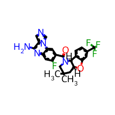 CC1(C)C[C@H]2Oc3cc(C(F)(F)F)ccc3[C@H]2N(C(=O)c2cc3c(cc2F)nc(N)c2cncn23)C1